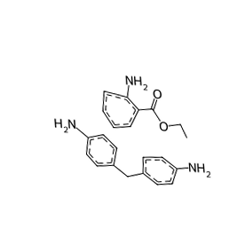 CCOC(=O)c1ccccc1N.Nc1ccc(Cc2ccc(N)cc2)cc1